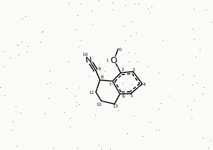 COc1cccc2c1C(C#N)CCC2